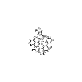 CN1CC(=O)N(c2cc(C#N)ccn2)[C@H](C(=O)N(c2cc(F)cc(F)c2)C(C(=O)NC2CC(F)(F)C2)c2ccccc2Cl)C1